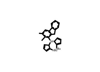 CCCCC1=CC=CC1[SiH](c1c(C)c(C)cc2c1Cc1ccccc1-2)C1C=CC=C1CCCC